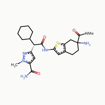 CNC(=O)C1(N)CCc2cc(NC(=O)[C@H](c3cc(C(N)=O)n(C)n3)C3CCCCC3)sc2C1